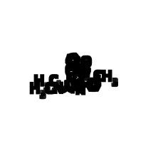 CCN(CC)CC1CNc2c(-c3ccc(=O)n(-c4ccccc4C)n3)c(-c3cccc(C)c3)nn2C1